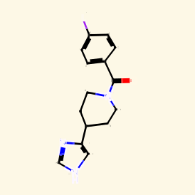 O=C(c1ccc(I)cc1)N1CCC(c2c[nH]cn2)CC1